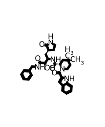 CC1(C)CCN(C(=O)c2cc3ccccc3[nH]2)[C@H](C(=O)NC(C[C@@H]2CCNC2=O)C(O)C(=O)NCc2ccccc2)C1